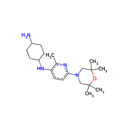 Cc1nc(N2CC(C)(C)OC(C)(C)C2)ccc1NC1CCC(N)CC1